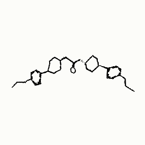 CCCc1ccc(C2CCC(CC(=O)C[C@H]3CC[C@H](c4ccc(CCC)cc4)CC3)CC2)cc1